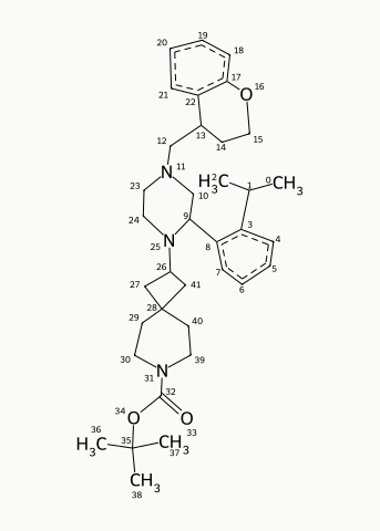 CC(C)c1ccccc1C1CN(CC2CCOc3ccccc32)CCN1C1CC2(CCN(C(=O)OC(C)(C)C)CC2)C1